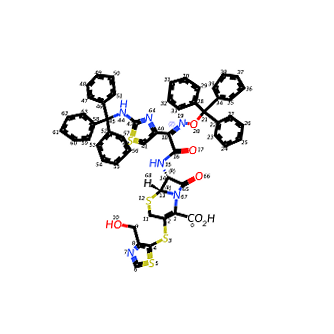 O=C(O)C1=C(Sc2scnc2CO)CS[C@@H]2[C@H](NC(=O)/C(=N\OC(c3ccccc3)(c3ccccc3)c3ccccc3)c3csc(NC(c4ccccc4)(c4ccccc4)c4ccccc4)n3)C(=O)N12